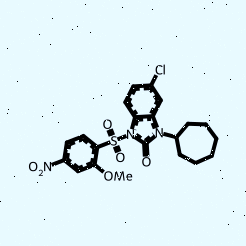 COc1cc([N+](=O)[O-])ccc1S(=O)(=O)n1c(=O)n(C2CCCCCC2)c2cc(Cl)ccc21